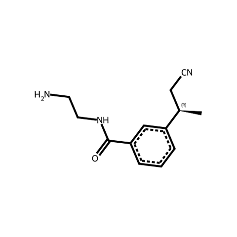 C[C@H](CC#N)c1cccc(C(=O)NCCN)c1